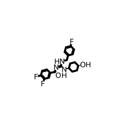 O=C(/N=C(/NCc1ccc(F)cc1)N[C@H]1CC[C@H](O)CC1)c1ccc(F)c(F)c1